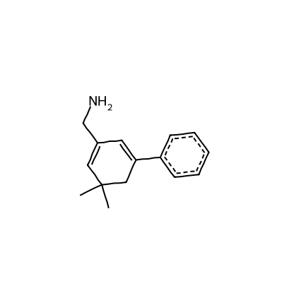 CC1(C)C=C(CN)C=C(c2ccccc2)C1